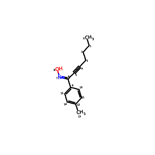 CCCCC#CC(=NO)c1ccc(C)cc1